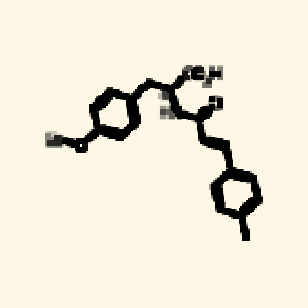 CCOc1ccc(C[C@H](NC(=O)C=Cc2ccc(C)cc2)C(=O)O)cc1